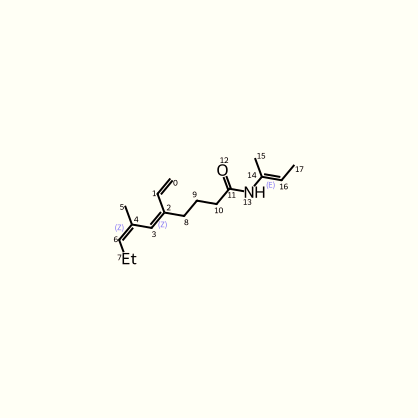 C=C/C(=C\C(C)=C/CC)CCCC(=O)N/C(C)=C/C